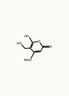 CCCc1oc(=O)cc(OC)c1CO